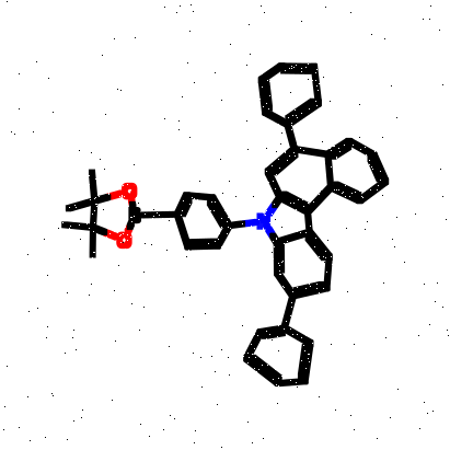 CC1(C)OB(c2ccc(-n3c4cc(-c5ccccc5)ccc4c4c5ccccc5c(-c5ccccc5)cc43)cc2)OC1(C)C